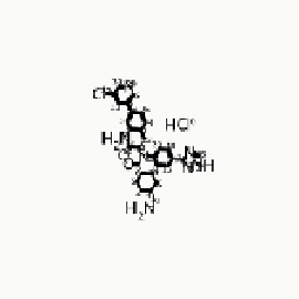 Cl.NC[C@H]1CC[C@H](C(=O)N(c2ccc(-c3nn[nH]n3)cc2)[C@@H](Cc2ccc(-c3cncc(Cl)c3)cc2)C(N)=O)CC1